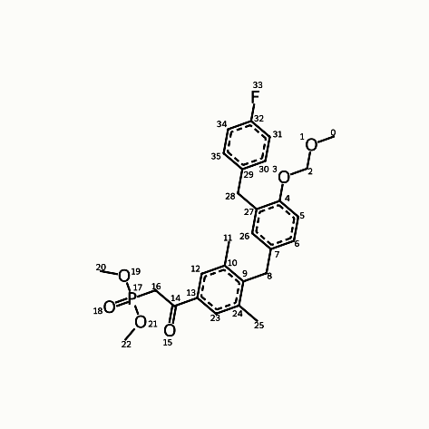 COCOc1ccc(Cc2c(C)cc(C(=O)CP(=O)(OC)OC)cc2C)cc1Cc1ccc(F)cc1